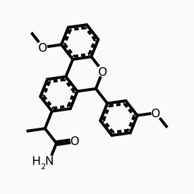 COc1cccc(C2Oc3cccc(OC)c3-c3ccc(C(C)C(N)=O)cc32)c1